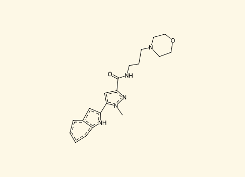 Cn1nc(C(=O)NCCCN2CCOCC2)cc1-c1cc2ccccc2[nH]1